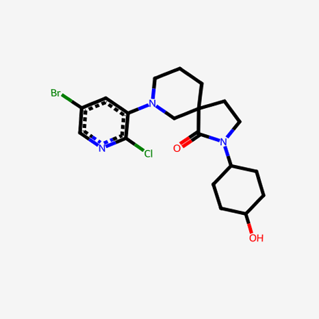 O=C1N(C2CCC(O)CC2)CCC12CCCN(c1cc(Br)cnc1Cl)C2